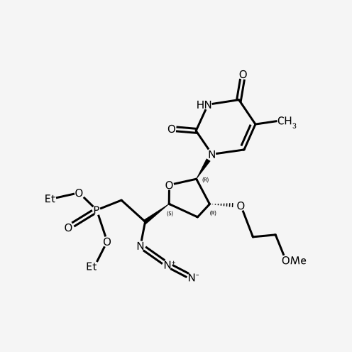 CCOP(=O)(CC(N=[N+]=[N-])[C@@H]1C[C@@H](OCCOC)[C@H](n2cc(C)c(=O)[nH]c2=O)O1)OCC